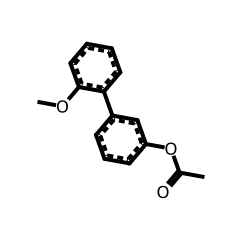 COc1ccccc1-c1cccc(OC(C)=O)c1